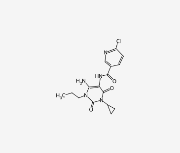 CCCn1c(N)c(NC(=O)c2ccc(Cl)nc2)c(=O)n(C2CC2)c1=O